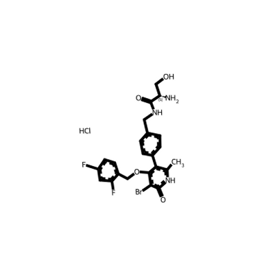 Cc1[nH]c(=O)c(Br)c(OCc2ccc(F)cc2F)c1-c1ccc(CNC(=O)[C@@H](N)CO)cc1.Cl